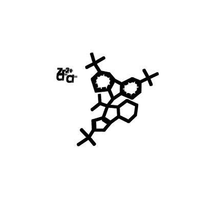 CC(C)C1(C2c3ccc(C(C)(C)C)cc3-c3cc(C(C)(C)C)ccc32)C2=C(CC(C(C)(C)C)=C2)C2CCCCC21.[Cl-].[Cl-].[Zr+2]